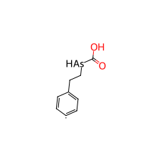 O=C(O)[AsH]CCc1cc[c]cc1